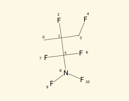 CC(F)(CF)C(F)(F)N(F)F